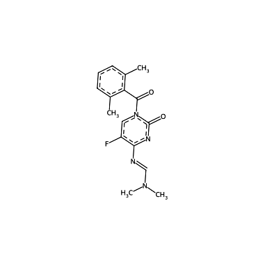 Cc1cccc(C)c1C(=O)n1cc(F)c(/N=C/N(C)C)nc1=O